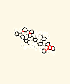 CC(C)(C)c1cccc2c3c(N(c4ccccc4-c4ccccc4)c4cccc5c4C(C)(C)c4ccccc4-5)ccc4c5cc6c(cc5n(c12)c43)c1ccc(N(c2ccccc2-c2ccccc2)c2cccc3c2C(C)(C)c2ccccc2-3)c2c3cccc(C(C)(C)C)c3n6c12